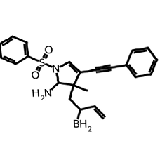 BC(C=C)CC1(C)C(C#Cc2ccccc2)=CN(S(=O)(=O)c2ccccc2)C1N